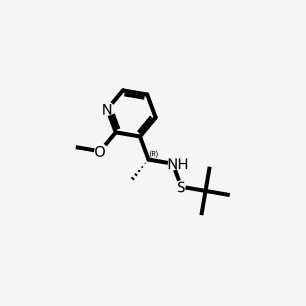 COc1ncccc1[C@@H](C)NSC(C)(C)C